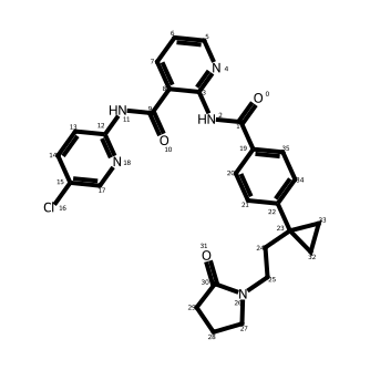 O=C(Nc1ncccc1C(=O)Nc1ccc(Cl)cn1)c1ccc(C2(CCN3CCCC3=O)CC2)cc1